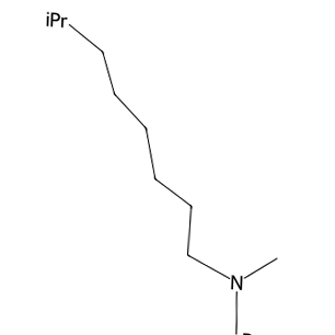 CCCCN(C)CCCCCCC(C)C